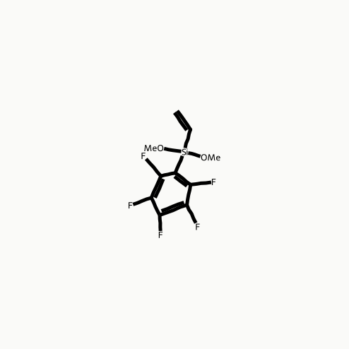 C=C[Si](OC)(OC)c1c(F)c(F)c(F)c(F)c1F